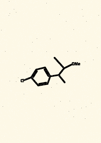 COC(C)C(C)c1ccc(Cl)cc1